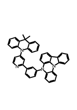 CC1(C)c2ccccc2N(c2ccnc(-c3cccc(N4c5ccccc5-n5c6ccccc6c6cccc4c65)c3)c2)c2ccccc21